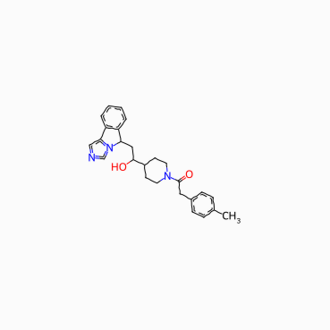 Cc1ccc(CC(=O)N2CCC(C(O)CC3c4ccccc4-c4cncn43)CC2)cc1